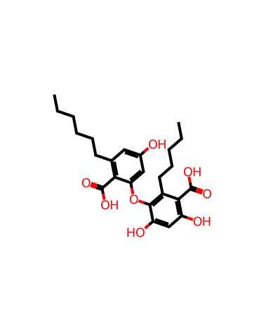 CCCCCCc1cc(O)cc(Oc2c(O)cc(O)c(C(=O)O)c2CCCCC)c1C(=O)O